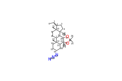 C/C=C1/CCC2C3C(CC[C@]12C)[C@@]1(C)CC[C@@H](N=[N+]=[N-])CC1[C@H]1OC(C)(C)O[C@H]31